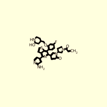 C=CC(=O)N1CC[C@H](n2cc(-c3nc(-c4ccnc(N)c4)c4ccsc4c3-c3ccc(F)cc3OCC3CCNC(O)C3)ccc2=O)C1